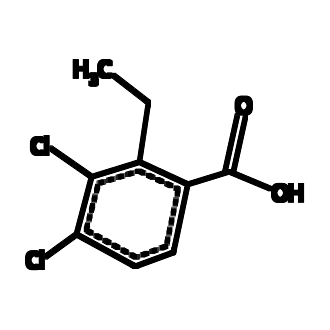 CCc1c(C(=O)O)ccc(Cl)c1Cl